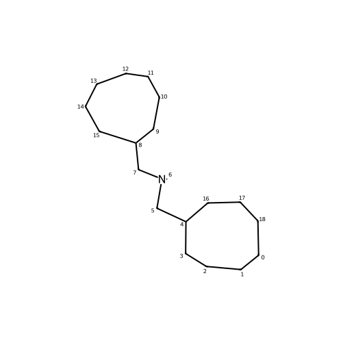 C1CCCC(C[N]CC2CCCCCCC2)CCC1